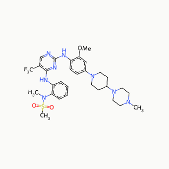 COc1cc(N2CCC(N3CCN(C)CC3)CC2)ccc1Nc1ncc(C(F)(F)F)c(Nc2ccccc2N(C)S(C)(=O)=O)n1